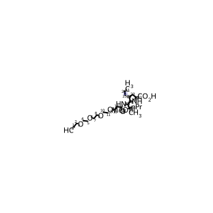 C#CCOCCOCCOCCOCCC(=O)N[C@H]([C@@H]1N[C@@H](C(=O)O)C[C@H]1/C=C\C)C(C)(CCC)OC